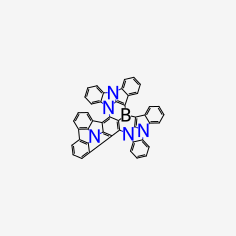 c1ccc2c(c1)c1c3n(c4ccccc4n23)-c2c3c(c4c5cccc6c7cccc8c2c4n(c78)c65)-n2c4ccccc4n4c5ccccc5c(c24)B31